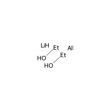 CCO.CCO.[Al].[LiH]